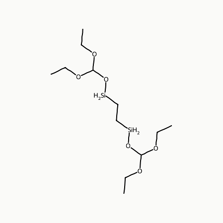 CCOC(OCC)O[SiH2]CC[SiH2]OC(OCC)OCC